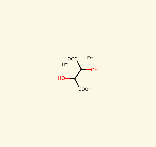 O=C([O-])C(O)C(O)C(=O)[O-].[Fr+].[Fr+]